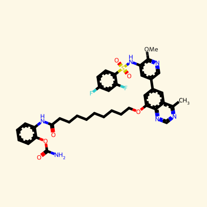 COc1ncc(-c2cc(OCCCCCCCCCC(=O)Nc3ccccc3OC(N)=O)c3ncnc(C)c3c2)cc1NS(=O)(=O)c1ccc(F)cc1F